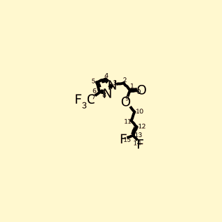 O=C(Cn1ccc(C(F)(F)F)n1)OCCC=C(F)F